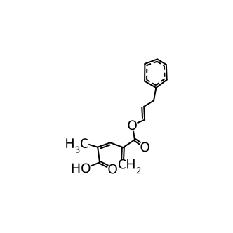 C=C(C=C(C)C(=O)O)C(=O)OC=CCc1ccccc1